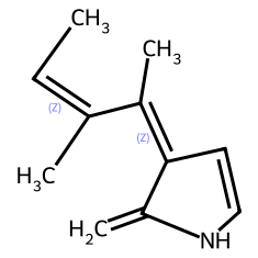 C=c1[nH]cc/c1=C(C)/C(C)=C\C